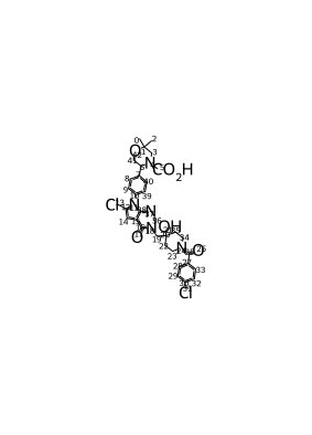 CC1(C)CN(C(=O)O)C(c2ccc(-n3c(Cl)cc4c(=O)n(CC5(O)CCN(C(=O)c6ccc(Cl)cc6)CC5)cnc43)cc2)CO1